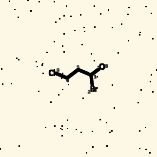 [O]C(Br)CCCl